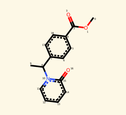 COC(=O)c1ccc(C(C)n2ccccc2=O)cc1